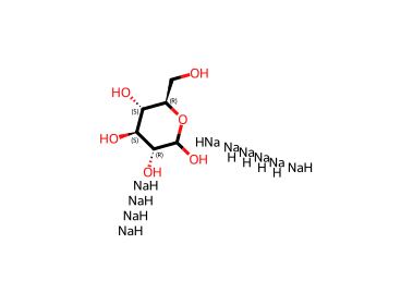 OC[C@H]1OC(O)[C@H](O)[C@@H](O)[C@@H]1O.[NaH].[NaH].[NaH].[NaH].[NaH].[NaH].[NaH].[NaH].[NaH].[NaH]